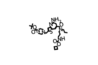 CCCN(CCCNC(=O)OC1CCC1)C(=O)C1=Cc2sc(CN3CCN(C(=O)OC(C)(C)C)CC3)cc2N=C(N)C1